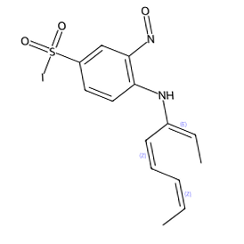 C\C=C/C=C\C(=C/C)Nc1ccc(S(=O)(=O)I)cc1N=O